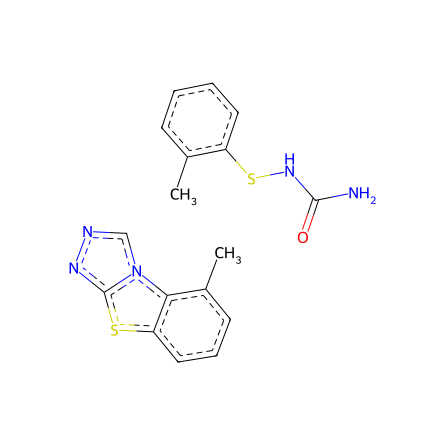 Cc1cccc2sc3nncn3c12.Cc1ccccc1SNC(N)=O